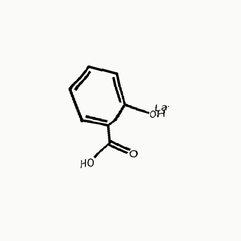 O=C(O)c1ccccc1O.[La]